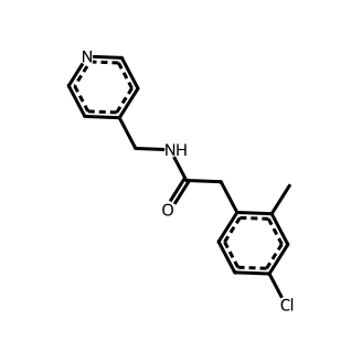 Cc1cc(Cl)ccc1CC(=O)NCc1ccncc1